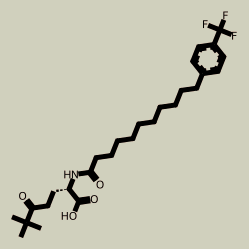 CC(C)(C)C(=O)CC[C@H](NC(=O)CCCCCCCCCCc1ccc(C(F)(F)F)cc1)C(=O)O